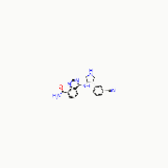 N#Cc1cccc([C@H]2CNC[C@H]2Nc2ncnc3c(C(N)=O)cccc23)c1